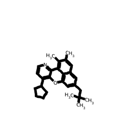 Cc1cc2cc(CC(C)(C)C)cc3c2c(c1C)-c1nccc(C2CCCC2)c1O3